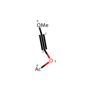 COC#COC(C)=O